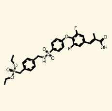 CCOP(=O)(Cc1ccc(CNS(=O)(=O)c2ccc(Oc3c(F)cc(/C=C(\C)C(=O)O)cc3F)cc2)cc1)OCC